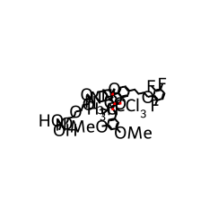 COc1cc(CN(C(=O)C2C(c3ccc(CCCOc4c(F)ccc(F)c4F)cc3)CC3CN(C(=O)OCCOCCON(O)O)CC2N3C(=O)OC(C)(C)C(Cl)(Cl)Cl)C2CC2)cc(OC)c1